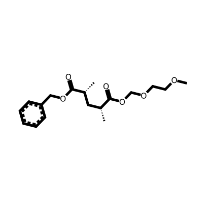 COCCOCOC(=O)[C@H](C)C[C@@H](C)C(=O)OCc1ccccc1